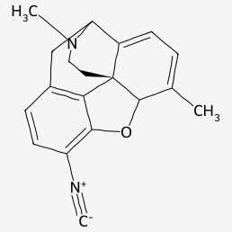 [C-]#[N+]c1ccc2c3c1OC1C(C)=CC=C4C(C2)N(C)CC[C@]431